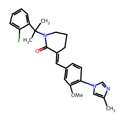 COc1cc(/C=C2\CCCN(C(C)(C)c3ccccc3F)C2=O)ccc1-n1cnc(C)c1